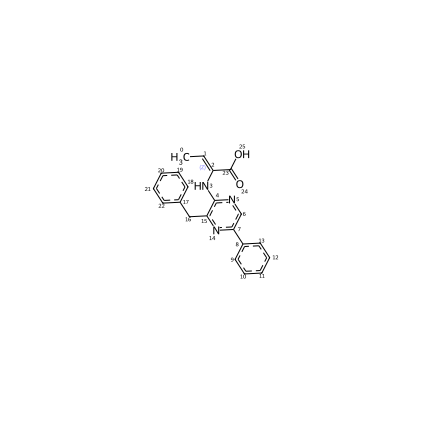 C/C=C(\Nc1ncc(-c2ccccc2)nc1Cc1ccccc1)C(=O)O